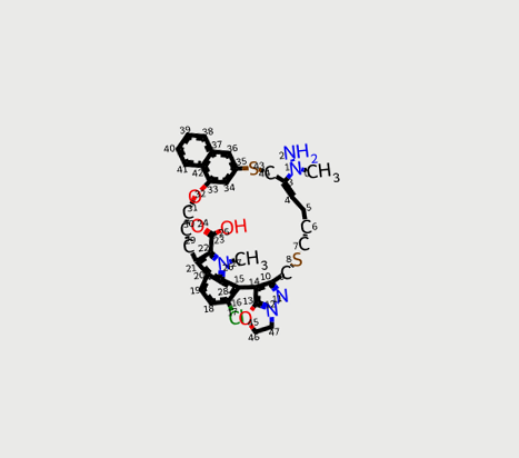 CN(N)/C1=C\CCCSCc2nn3c(c2-c2c(Cl)ccc4c(c(C(=O)O)n(C)c24)CCCOc2cc(cc4ccccc24)SC1)OCC3